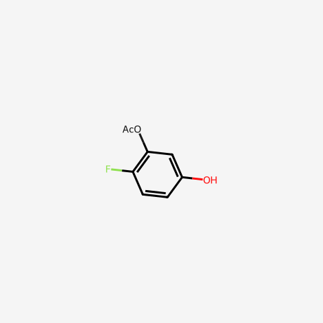 CC(=O)Oc1cc(O)ccc1F